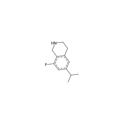 CC(C)c1cc(F)c2c(c1)CCNC2